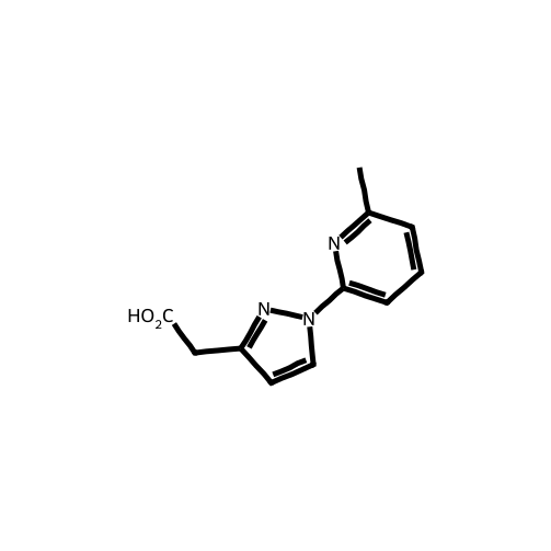 Cc1cccc(-n2ccc(CC(=O)O)n2)n1